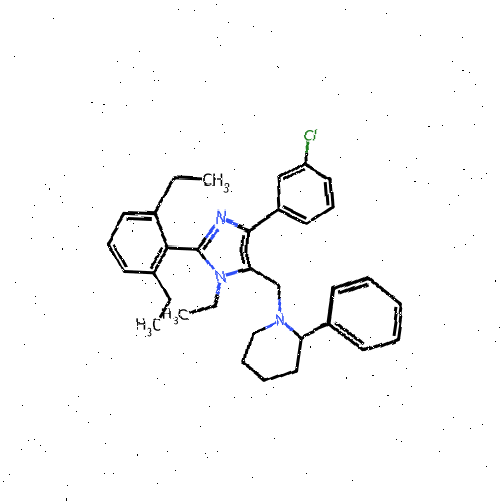 CCc1cccc(CC)c1-c1nc(-c2cccc(Cl)c2)c(CN2CCCCC2c2ccccc2)n1CC